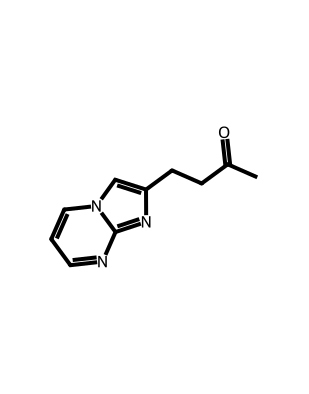 CC(=O)CCc1cn2cccnc2n1